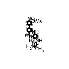 COc1cc(-c2ccc3c(c2)Nc2ccc(NC(=O)CC(C)N)cc2NC3=O)ccc1[N+](=O)[O-]